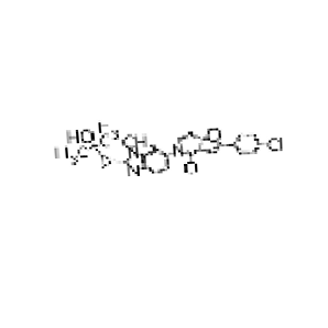 Cn1c(C2CC2C(C)(C)O)nc2ccc(-n3ccc4oc(-c5ccc(Cl)cc5)cc4c3=O)cc21